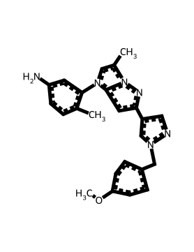 COc1ccc(Cn2cc(-c3cc4n(-c5cc(N)ccc5C)cc(C)n4n3)cn2)cc1